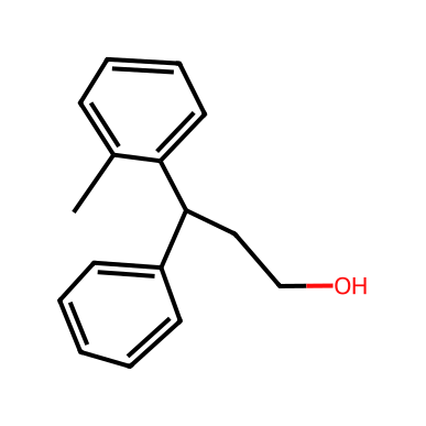 Cc1ccccc1C(CCO)c1ccccc1